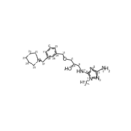 Cn1nc(N)nc1NCC(O)COCc1cccc(CN2CCCCC2)c1